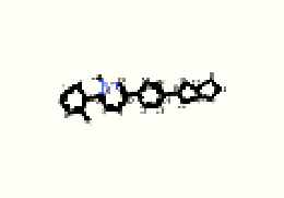 Cc1ccccc1-c1ccc(-c2ccc(C3CC4CCCC4C3)cc2)c[n+]1C